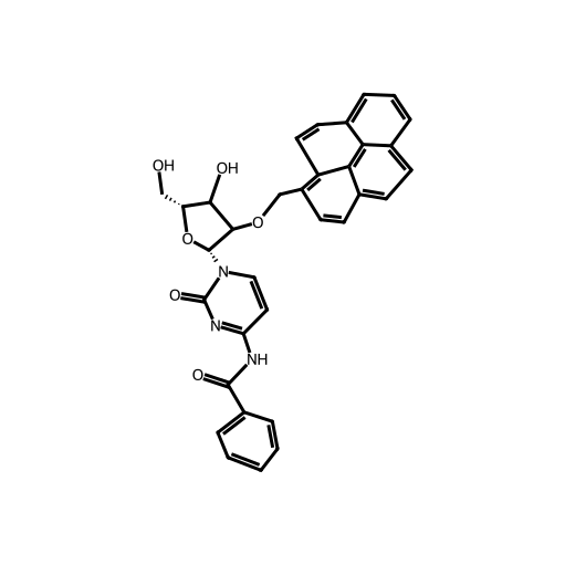 O=C(Nc1ccn([C@@H]2O[C@H](CO)C(O)C2OCc2ccc3ccc4cccc5ccc2c3c45)c(=O)n1)c1ccccc1